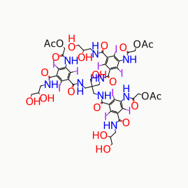 CC(=O)OCC(=O)Nc1c(I)c(C(=O)NCC(O)CO)c(I)c(C(=O)NCC(CO)(CNC(=O)c2c(I)c(NC(=O)COC(C)=O)c(I)c(C(=O)NCC(O)CO)c2I)CNC(=O)c2c(I)c(NC(=O)COC(C)=O)c(I)c(C(=O)NCC(O)CO)c2I)c1I